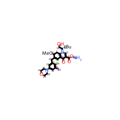 COC1Cc2c(c(=O)c(C(=O)ON)cn2[C@H](CO)C(C)(C)C)C=C1Cc1cc(N2CCOCC2)cc(I)c1F